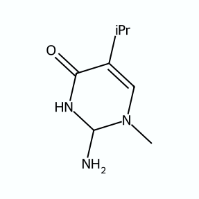 CC(C)C1=CN(C)C(N)NC1=O